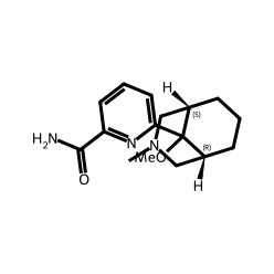 COC1(c2cccc(C(N)=O)n2)[C@@H]2CCC[C@H]1CN(C)C2